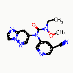 CCN(OC)C(=O)N(c1cncc(C#N)c1)c1cnn2ccnc2c1